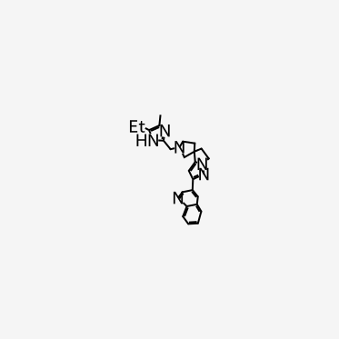 CCc1[nH]c(CN2CCC3(CCn4nc(-c5cnc6ccccc6c5)cc43)C2)nc1C